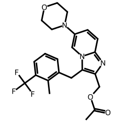 CC(=O)OCc1nc2ccc(N3CCOCC3)cn2c1Cc1cccc(C(F)(F)F)c1C